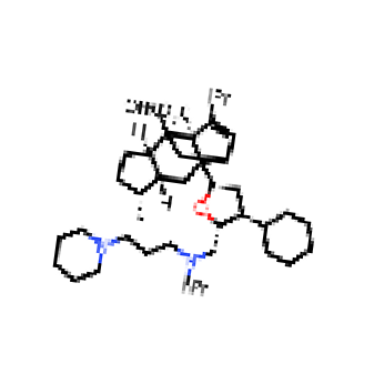 CCCN(CCCN1CCCCC1)C[C@@H]1O[C@@H](C23C[C@@H]4[C@H](C)CC[C@H]4C4(C=O)CC2C=C(C(C)C)[C@]43C(=O)O)C[C@H]1C1CCCCC1